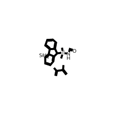 C=C(C)C(=C)C.[CH3][Ti]([CH3])([NH]C=O)[CH]1c2ccccc2-c2ccccc21.[SiH4]